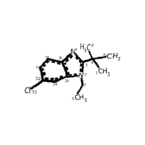 CCn1c(C(C)(C)C)nc2ccc(Cl)cc21